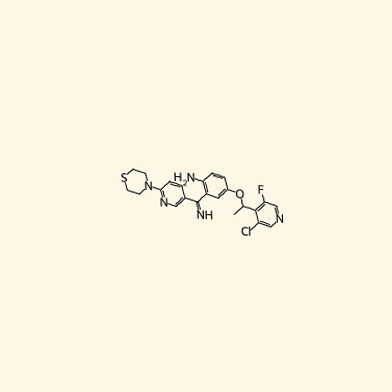 CC(Oc1ccc(N)c(C(=N)c2ccc(N3CCSCC3)nc2)c1)c1c(F)cncc1Cl